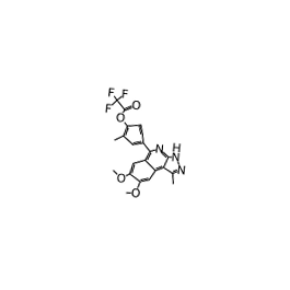 COc1cc2c(-c3ccc(OC(=O)C(F)(F)F)c(C)c3)nc3[nH]nc(C)c3c2cc1OC